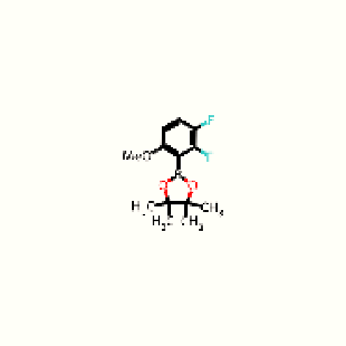 COc1ccc(F)c(F)c1B1OC(C)(C)C(C)(C)O1